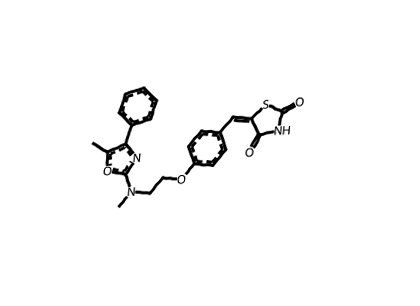 Cc1oc(N(C)CCOc2ccc(/C=C3/SC(=O)NC3=O)cc2)nc1-c1ccccc1